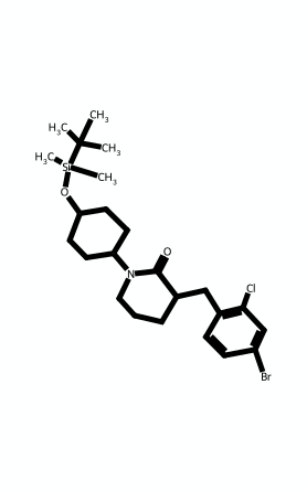 CC(C)(C)[Si](C)(C)OC1CCC(N2CCCC(Cc3ccc(Br)cc3Cl)C2=O)CC1